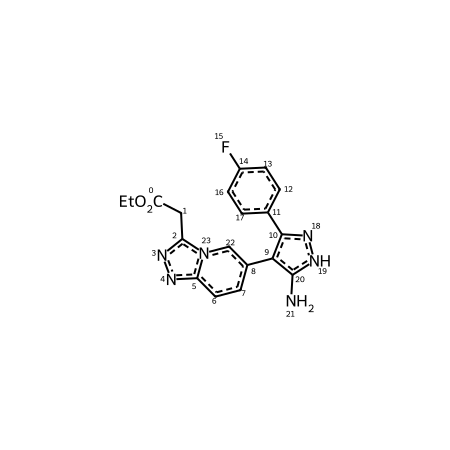 CCOC(=O)Cc1nnc2ccc(-c3c(-c4ccc(F)cc4)n[nH]c3N)cn12